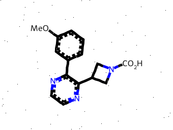 COc1cccc(-c2nccnc2C2CN(C(=O)O)C2)c1